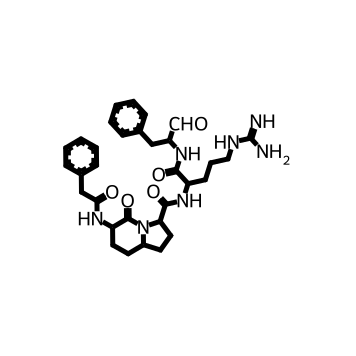 N=C(N)NCCCC(NC(=O)C1CCC2CCC(NC(=O)Cc3ccccc3)C(=O)N21)C(=O)NC(C=O)Cc1ccccc1